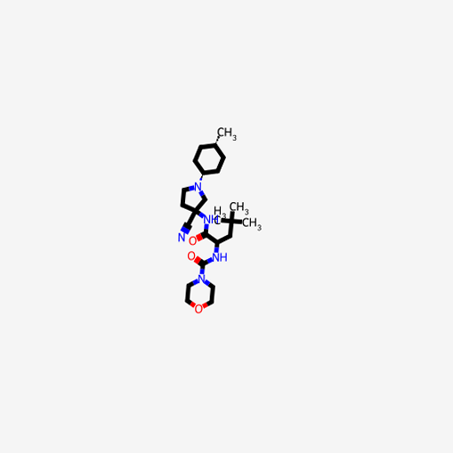 CC(C)(C)CC(NC(=O)N1CCOCC1)C(=O)NC1(C#N)CCN([C@H]2CC[C@@H](C)CC2)C1